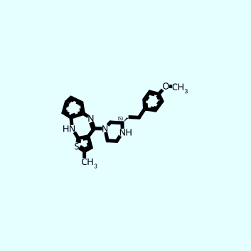 COc1ccc(CC[C@H]2CN(C3=Nc4ccccc4Nc4sc(C)cc43)CCN2)cc1